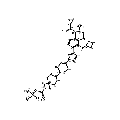 C[C@H]1CCc2c(ccc(-c3cnn(C4CCN(C5CCC6(CC5)CN(C(=O)OC(C)(C)C)C6)CC4)c3)c2OC2CCC2)N1C(=O)C1CC1